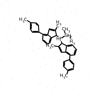 CC1=Cc2c(-c3ccc(C)cc3)cccc2[CH]1[Hf]([CH]1C(C)=Cc2c(-c3ccc(C)cc3)cccc21)[SiH](C)C